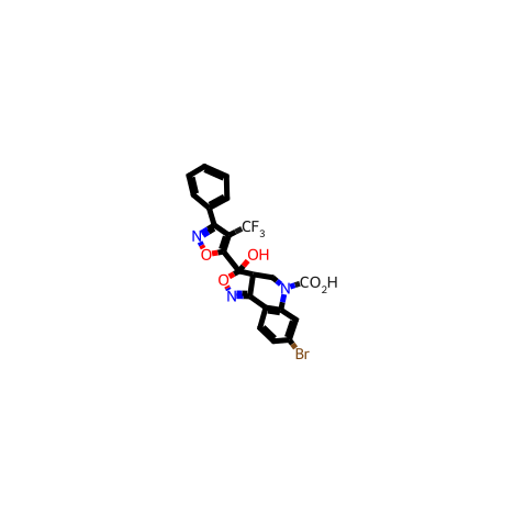 O=C(O)N1CC2C(=NOC2(O)c2onc(-c3ccccc3)c2C(F)(F)F)c2ccc(Br)cc21